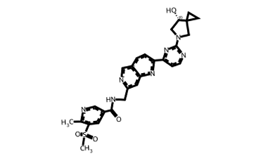 Cc1ncc(C(=O)NCc2cc3nc(-c4ccnc(N5C[C@H](O)C6(CC6)C5)n4)ccc3cn2)cc1S(C)(=O)=O